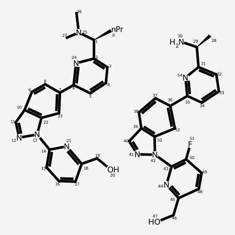 CCC[C@@H](c1cccc(-c2ccc3cnn(-c4cccc(CO)n4)c3c2)n1)N(C)C.C[C@H](N)c1cccc(-c2ccc3cnn(-c4nc(CO)ccc4F)c3c2)n1